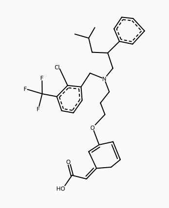 CC(C)CC(CN(CCCOC1=CC(=CC(=O)O)CC=C1)Cc1cccc(C(F)(F)F)c1Cl)c1ccccc1